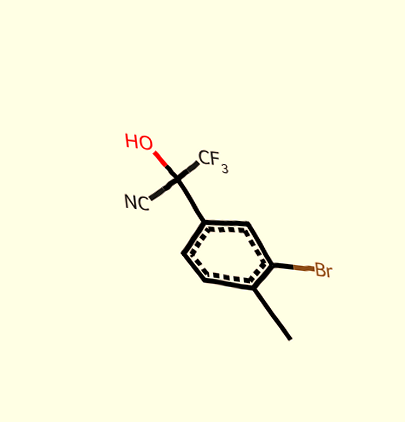 Cc1ccc(C(O)(C#N)C(F)(F)F)cc1Br